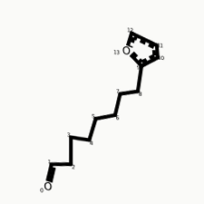 O=CCCCCCCCc1ccco1